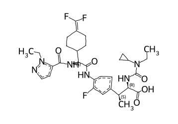 CCN(C(=O)N[C@@H](C(=O)O)[C@@H](C)c1ccc(NC(=O)[C@@H](NC(=O)c2ccnn2CC)C2CCC(=C(F)F)CC2)c(F)c1)C1CC1